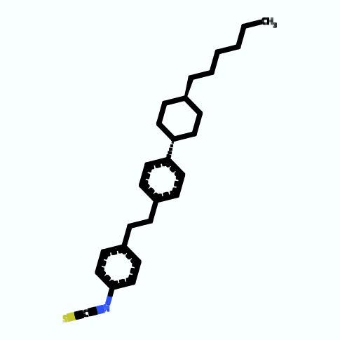 CCCCCC[C@H]1CC[C@H](c2ccc(CCc3ccc(N=C=S)cc3)cc2)CC1